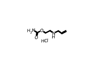 C=CCNCCOC(N)=O.Cl